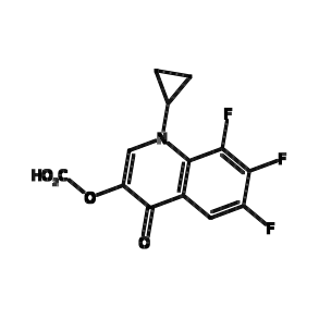 O=C(O)Oc1cn(C2CC2)c2c(F)c(F)c(F)cc2c1=O